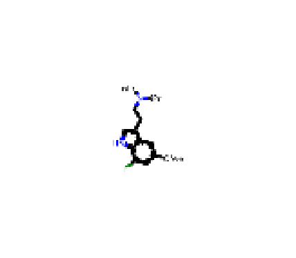 CCCN(CCc1c[nH]c2c(F)cc(OC)cc12)C(C)C